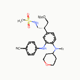 CCN(c1ccc([C@H](CNS(C)(=O)=O)COC)cc1Nc1ccc(C#N)cc1)C1CCOCC1